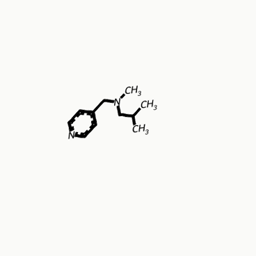 CC(C)CN(C)Cc1ccncc1